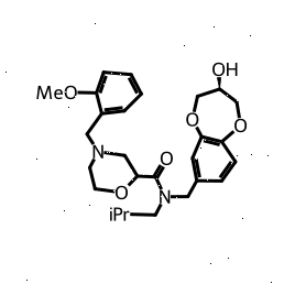 COc1ccccc1CN1CCOC(C(=O)N(Cc2ccc3c(c2)OC[C@@H](O)CO3)CC(C)C)C1